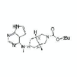 CN(c1ncnc2[nH]ccc12)[C@@H]1C[C@@H]2CN(C(=O)OC(C)(C)C)C[C@]2(C)C1